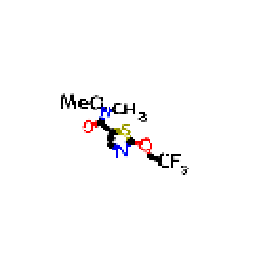 CON(C)C(=O)c1cnc(OCC(F)(F)F)s1